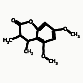 COc1cc(OC)c2c(c1)OC(=O)C(C)C2C